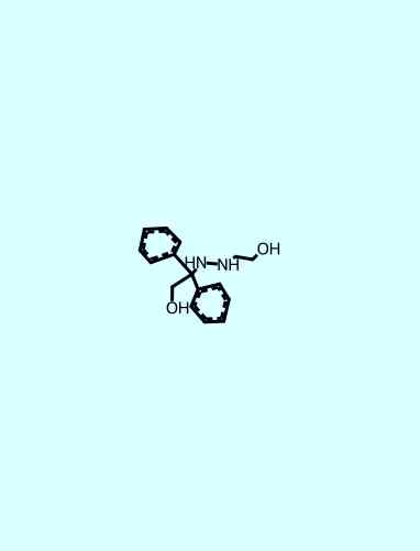 OCCNNC(CO)(c1ccccc1)c1ccccc1